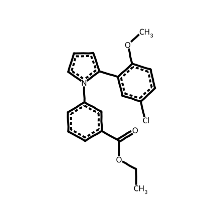 CCOC(=O)c1cccc(-n2cccc2-c2cc(Cl)ccc2OC)c1